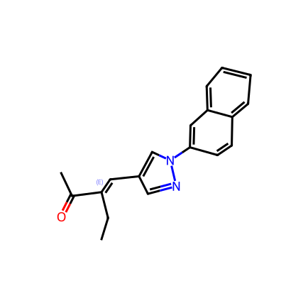 CC/C(=C\c1cnn(-c2ccc3ccccc3c2)c1)C(C)=O